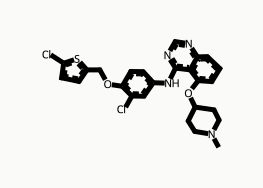 CN1CCC(Oc2cccc3ncnc(Nc4ccc(OCc5ccc(Cl)s5)c(Cl)c4)c23)CC1